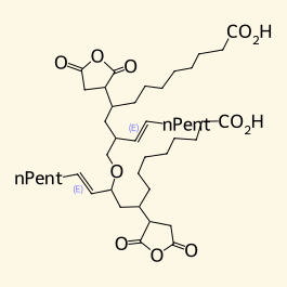 CCCCC/C=C/C(COC(/C=C/CCCCC)CC(CCCCCCCC(=O)O)C1CC(=O)OC1=O)CC(CCCCCCCC(=O)O)C1CC(=O)OC1=O